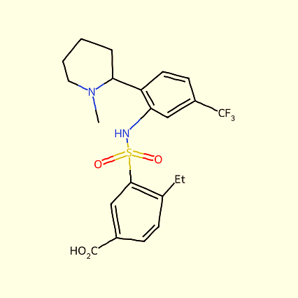 CCc1ccc(C(=O)O)cc1S(=O)(=O)Nc1cc(C(F)(F)F)ccc1C1CCCCN1C